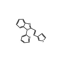 C(=C\c1nc2ccccc2n1-c1ccccn1)/c1ccsc1